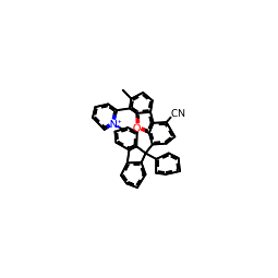 Cc1ccc2c(oc3c(C4(c5ccccc5)c5ccccc5-c5ccccc54)ccc(C#N)c32)c1-c1cccc[n+]1C